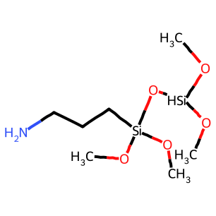 CO[SiH](OC)O[Si](CCCN)(OC)OC